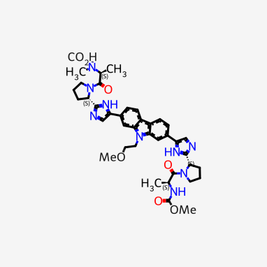 COCCn1c2cc(-c3cnc([C@@H]4CCCN4C(=O)[C@H](C)NC(=O)OC)[nH]3)ccc2c2ccc(-c3cnc([C@@H]4CCCN4C(=O)[C@H](C)N(C)C(=O)O)[nH]3)cc21